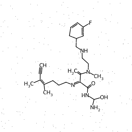 C#C/C(C)=C(/C)CCC/N=C(\C(=C)N(C)CCNCC1C=C(F)C=CC1)C(=O)NC(N)O